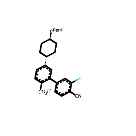 CCCCC[C@H]1CC[C@H](c2ccc(C(=O)O)c(-c3ccc(C#N)c(F)c3)c2)CC1